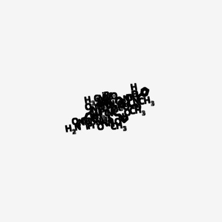 CC[C@H](C)[C@@H]([C@@H](CC(=O)N1CCC[C@H]1[C@H](OC)[C@@H](C)C(=O)N[C@H](C)[C@@H](O)c1ccccc1)OC)N(C)C(=O)[C@@H](NC(=O)[C@H](C(C)C)N(C)C(=O)CNC(=O)C(CCCNC(N)=O)NC(=O)[C@@H](NC(=O)CCN(C)CCN(C)CCCN1C(=O)C=CC1=O)C(C)C)C(C)C